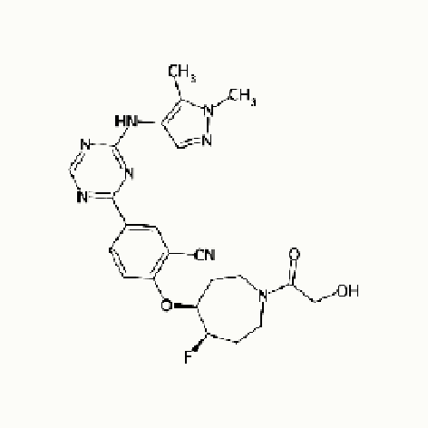 Cc1c(Nc2ncnc(-c3ccc(O[C@H]4CCN(C(=O)CO)CC[C@H]4F)c(C#N)c3)n2)cnn1C